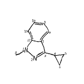 Cn1nc(C2CC2)c2c[c]ccc21